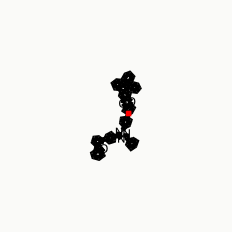 c1ccc(-c2nc(-c3ccc(-c4ccc5c(c4)Oc4cc6c(cc4O5)C(c4ccccc4)(c4ccccc4)c4ccccc4-6)cc3)nc(-c3ccc(-c4cccc5c4oc4ccccc45)cc3)n2)cc1